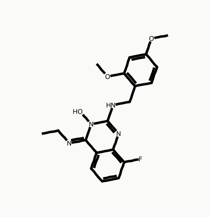 CC/N=c1/c2cccc(F)c2nc(NCc2ccc(OC)cc2OC)n1O